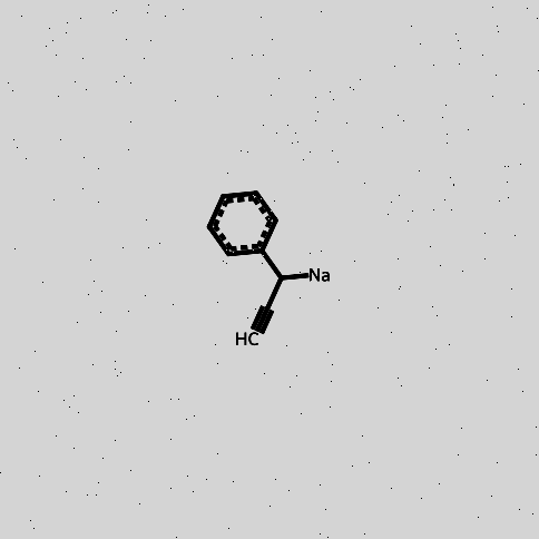 C#C[CH]([Na])c1ccccc1